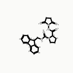 O=C(ON1C(=O)CCC1=O)C1CCCN1C(=O)OCC1c2ccccc2-c2ccccc21